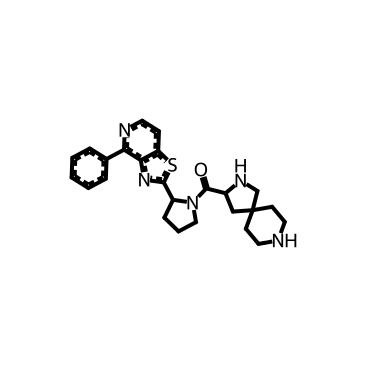 O=C(C1CC2(CCNCC2)CN1)N1CCCC1c1nc2c(-c3ccccc3)nccc2s1